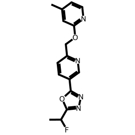 Cc1ccnc(OCc2ccc(-c3nnc(C(C)F)o3)cn2)c1